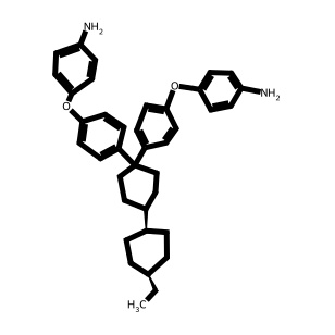 CC[C@H]1CC[C@@H](C2CCC(c3ccc(Oc4ccc(N)cc4)cc3)(c3ccc(Oc4ccc(N)cc4)cc3)CC2)CC1